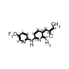 C=c1nc(Nc2ccc(C(F)(F)F)cn2)cc/c1=C/C(Cl)=C\C